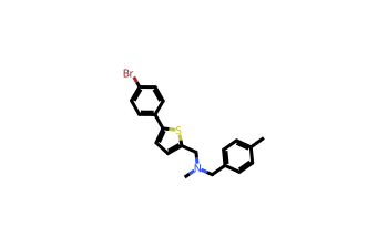 Cc1ccc(CN(C)Cc2ccc(-c3ccc(Br)cc3)s2)cc1